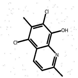 Cc1ccc2c(Cl)c(C)c(Cl)c(O)c2n1